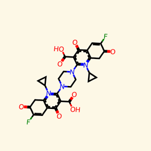 O=C1Cc2c(c(=O)c(C(=O)O)c(N3CCN(c4c(C(=O)O)c(=O)c5c(n4C4CC4)CC(=O)C(F)=C5)CC3)n2C2CC2)C=C1F